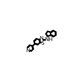 c1ccc2c(c1)CC[C@H]2Nc1nc2ccc(-c3ccncc3)cc2s1